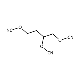 N#COCCC(COC#N)OC#N